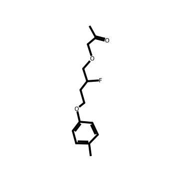 CC(=O)COCC(F)CCOc1ccc(C)cc1